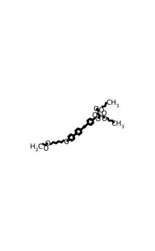 C=CC(=O)OCCCCCCOc1ccc(-c2ccc(C#Cc3ccc(C4O[C@@H](C(=O)OCCCC)[C@H](C(=O)OCCCC)O4)cc3)cc2)cc1